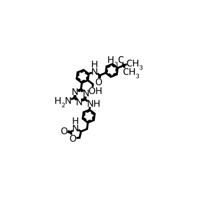 CC(C)(C)c1ccc(C(=O)Nc2cccc(-c3nc(N)nc(Nc4ccc(CC5COC(=O)N5)cc4)n3)c2CO)cc1